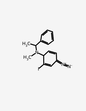 CC(c1ccccc1)N(C)C1C=CC(=[N+]=[N-])C=C1I